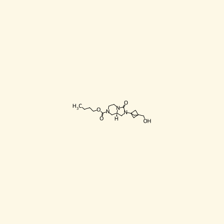 CCCCOC(=O)N1CCN2C(=O)N(C34CC(CO)(C3)C4)C[C@@H]2C1